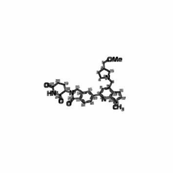 COCC1CCN(Cc2cc(-c3ccc4c(c3)CN(C3CCC(=O)NC3=O)C4=O)nc3c2ccn3C)C1